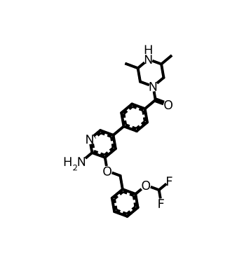 CC1CN(C(=O)c2ccc(-c3cnc(N)c(OCc4ccccc4OC(F)F)c3)cc2)CC(C)N1